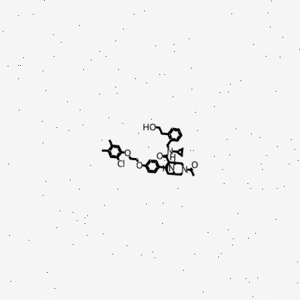 CC(=O)N1CC2CC(c3ccc(OCCOc4cc(C)c(C)cc4Cl)cc3)=C(C(=O)N(Cc3ccccc3CCO)C3CC3)[C@@H](C1)N2